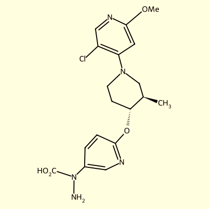 COc1cc(N2CC[C@@H](Oc3ccc(N(N)C(=O)O)cn3)[C@H](C)C2)c(Cl)cn1